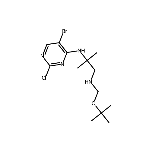 CC(C)(CNCOC(C)(C)C)Nc1nc(Cl)ncc1Br